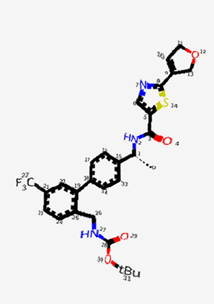 C[C@@H](NC(=O)c1cnc(C2=CCOC2)s1)c1ccc(-c2cc(C(F)(F)F)ccc2CNC(=O)OC(C)(C)C)cc1